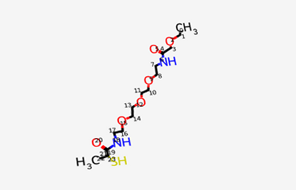 CCOCC(=O)NCCOCCOCCOCCNC(=O)C(C)S